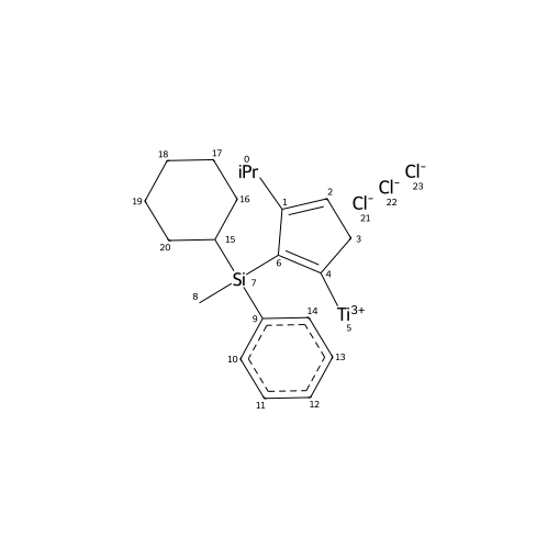 CC(C)C1=CC[C]([Ti+3])=C1[Si](C)(c1ccccc1)C1CCCCC1.[Cl-].[Cl-].[Cl-]